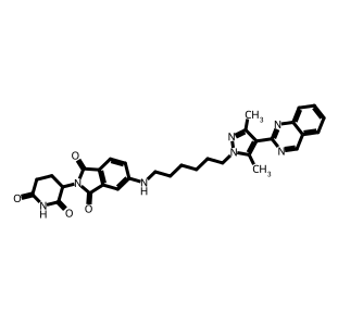 Cc1nn(CCCCCCNc2ccc3c(c2)C(=O)N(C2CCC(=O)NC2=O)C3=O)c(C)c1-c1ncc2ccccc2n1